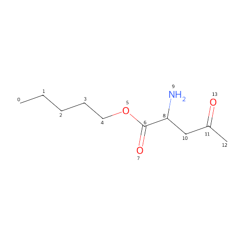 CCCCCOC(=O)C(N)CC(C)=O